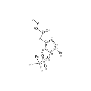 CCOC(=O)Cc1ccc(Br)c(OS(=O)(=O)C(F)(F)F)c1